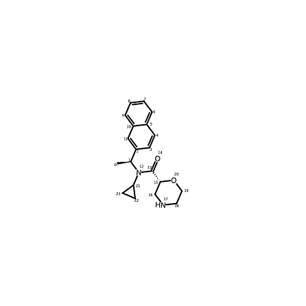 C[C@@H](c1ccc2ccccc2c1)N(C(=O)[C@H]1CNCCO1)C1CC1